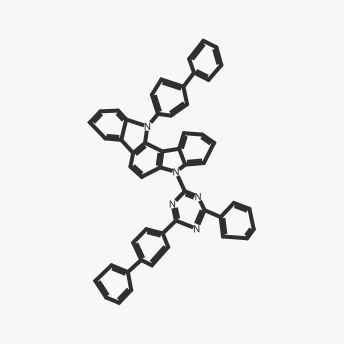 c1ccc(-c2ccc(-c3nc(-c4ccccc4)nc(-n4c5ccccc5c5c4ccc4c6ccccc6n(-c6ccc(-c7ccccc7)cc6)c45)n3)cc2)cc1